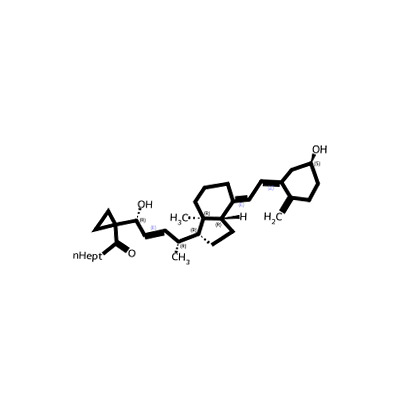 C=C1CC[C@H](O)C/C1=C/C=C1\CCC[C@]2(C)[C@@H]([C@H](C)/C=C/[C@@H](O)C3(C(=O)CCCCCCC)CC3)CC[C@@H]12